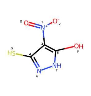 O=[N+]([O-])c1c(S)n[nH]c1O